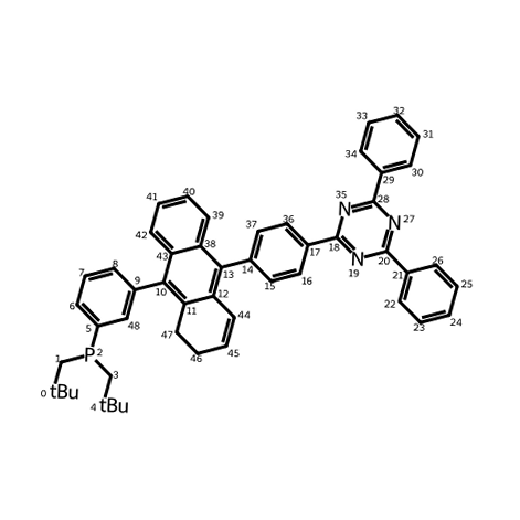 CC(C)(C)CP(CC(C)(C)C)c1cccc(-c2c3c(c(-c4ccc(-c5nc(-c6ccccc6)nc(-c6ccccc6)n5)cc4)c4ccccc24)C=CCC3)c1